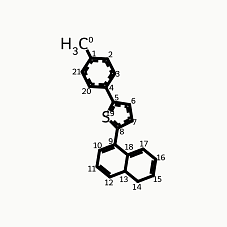 Cc1ccc(-c2ccc(C3=CC=CC4CC=CC=C34)s2)cc1